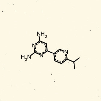 CC(C)c1ccc(-c2cc(N)nc(N)n2)cn1